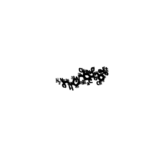 CCS(=O)(=O)c1ccc(Cl)cc1Cn1c(=O)[nH]c2c(Cl)c(CN3CCC(NCC(N)=O)C3)c(C(F)(F)F)cc2c1=O